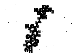 C=C(CCCCNC(=O)OC(C)(C)C)c1ccc2c(c1)C(=O)N(C1CCC(=O)NC1=O)C2=O